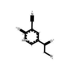 N#Cc1cc(C(=O)CBr)c[nH]c1=O